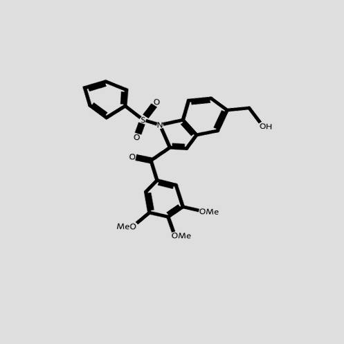 COc1cc(C(=O)c2cc3cc(CO)ccc3n2S(=O)(=O)c2ccccc2)cc(OC)c1OC